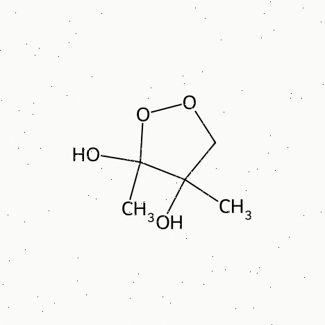 CC1(O)COOC1(C)O